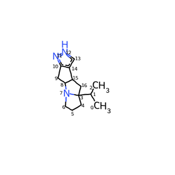 CC(C)C12CCCN1C1Cc3n[nH]cc3C1C2